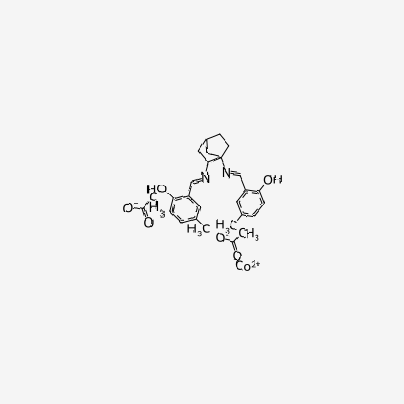 CC(=O)[O-].CC(=O)[O-].Cc1ccc(O)c(C=NC2CC3CCC2(N=Cc2cc(C)ccc2O)C3)c1.[Co+2]